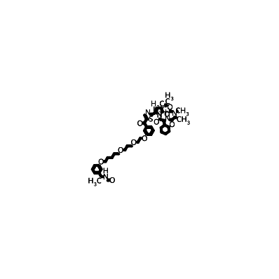 CC(NC=O)c1cccc(OCCCCCOCCCOCCOc2cccc(C(=O)c3cnc(C4CCCN4C(=O)[C@@H](NC(=O)C(C)N(C)C(=O)OC(C)(C)C)C4CCCCC4)s3)c2)c1